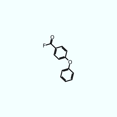 O=C(F)c1ccc(Oc2ccccc2)cc1